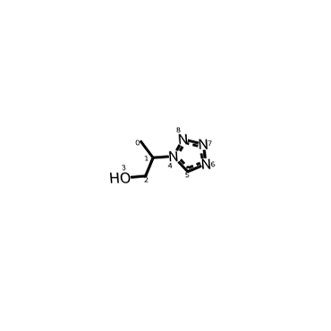 CC(CO)n1cnnn1